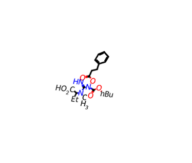 CCCCOC(=O)N(OC(=O)CCc1ccccc1)C(=N)N(C)C(CC)C(=O)O